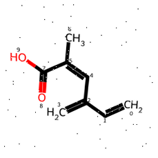 C=CC(=C)C=C(C)C(=O)O